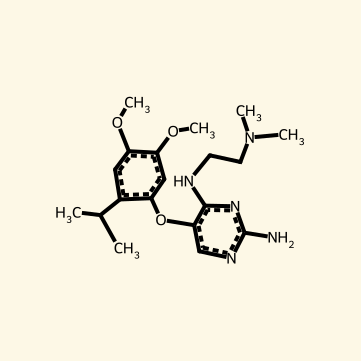 COc1cc(Oc2cnc(N)nc2NCCN(C)C)c(C(C)C)cc1OC